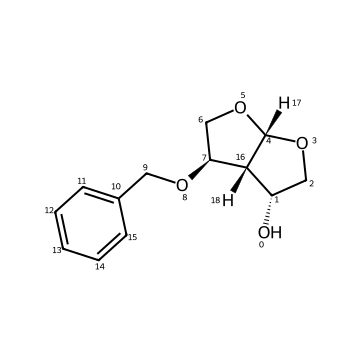 O[C@H]1CO[C@H]2OC[C@H](OCc3ccccc3)[C@H]21